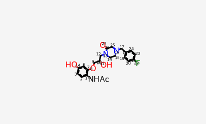 CC(=O)Nc1ccc(O)cc1OC[C@@H](O)CN1CCN(Cc2ccc(F)cc2)CC1=O